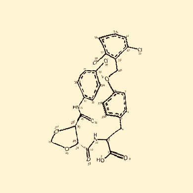 O=C(O)C(Cc1ccc(OCc2c(Cl)cccc2Cl)cc1)NC(=O)[C@@H]1OCO[C@H]1C(=O)Nc1ccc(Cl)cc1